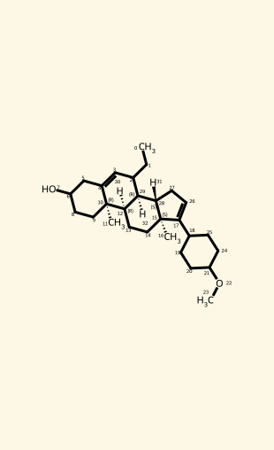 CCC1C=C2CC(O)CC[C@]2(C)[C@@H]2CC[C@]3(C)C(C4CCC(OC)CC4)=CC[C@H]3[C@H]12